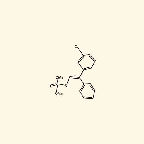 COP(=O)(OC)O/C=C(\c1ccccc1)c1cccc(Cl)c1